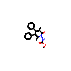 COC(=O)Nn1c(C)c(-c2ccccc2)c(-c2ccccc2)c(C)c1=O